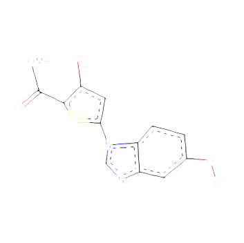 COC(=O)c1sc(-n2cnc3cc(OC(F)(F)F)ccc32)cc1O